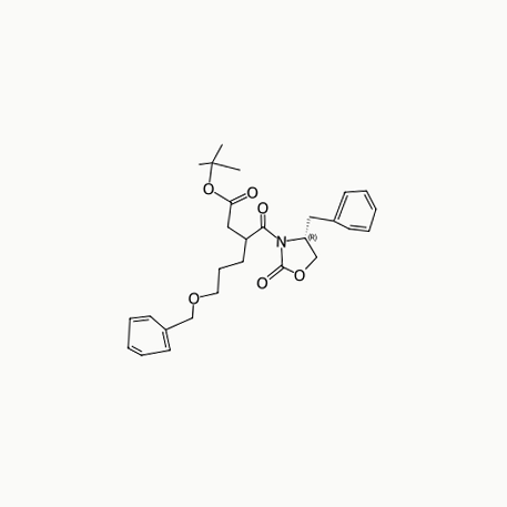 CC(C)(C)OC(=O)CC(CCCOCc1ccccc1)C(=O)N1C(=O)OC[C@H]1Cc1ccccc1